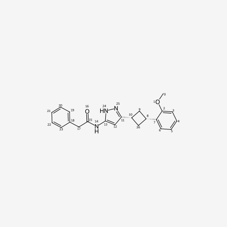 COc1ccccc1[C@H]1C[C@@H](c2cc(NC(=O)Cc3ccccc3)[nH]n2)C1